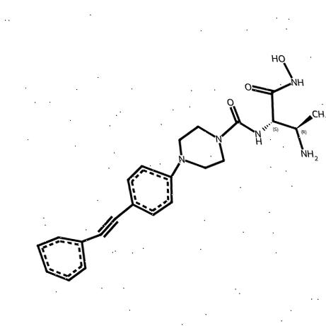 C[C@@H](N)[C@H](NC(=O)N1CCN(c2ccc(C#Cc3ccccc3)cc2)CC1)C(=O)NO